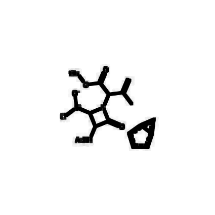 C=C(C)C(C(=O)OC(C)(C)C)N1C(=O)C(NC(C)=O)C1[S+]([O-])Cl.c1cc2cc-2c1